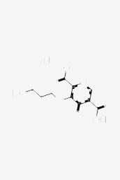 CCCCOc1c(C(=O)OC)occ(C(=O)O)c1=O